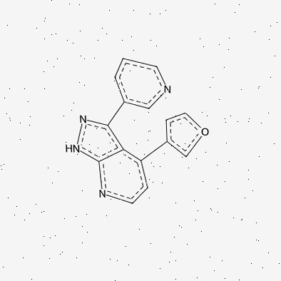 c1cncc(-c2n[nH]c3nccc(-c4ccoc4)c23)c1